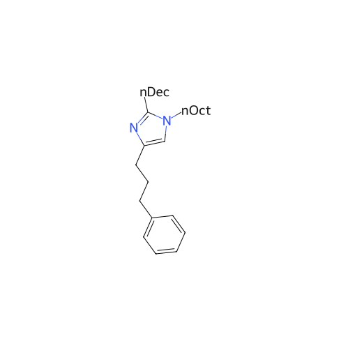 CCCCCCCCCCc1nc(CCCc2ccccc2)cn1CCCCCCCC